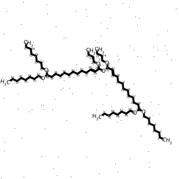 CCCCCCCCOC(CCCCCCCCCC=CC(OCCCC)OC(C=CCCCCCCCCCC(OCCCCCCCC)OCCCCCCCC)OCCCC)OCCCCCCCC